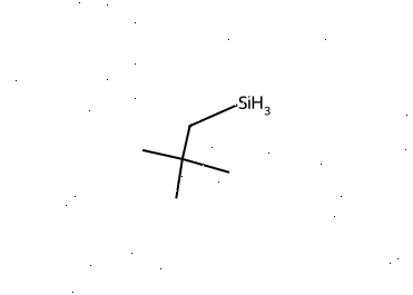 CC(C)(C)C[SiH3]